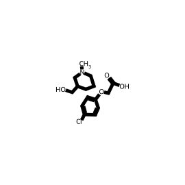 CN1CCCC(CO)C1.O=C(O)COc1ccc(Cl)cc1